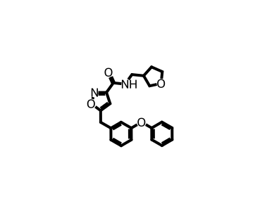 O=C(NCC1CCOC1)c1cc(Cc2cccc(Oc3ccccc3)c2)on1